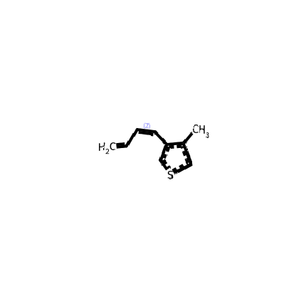 C=C/C=C\c1cscc1C